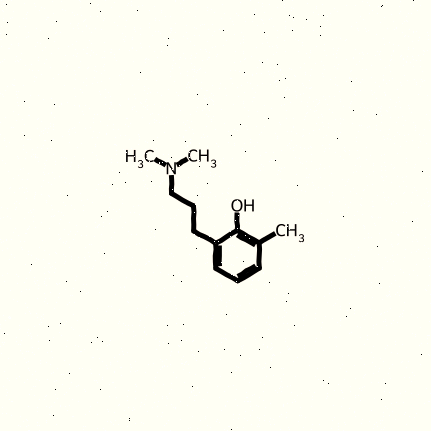 Cc1cccc(CCCN(C)C)c1O